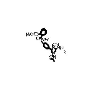 COc1ccccc1C(=O)NCc1ccc(C2=CN(c3nc(C)cs3)C=C(N)N2C#N)cc1